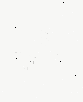 Cc1cc(C)c(CNC(=O)c2cc(C3=CCN(C(=O)C4CCNCC4)CC3)cc3c2cnn3C2CCCC2)c(=O)[nH]1